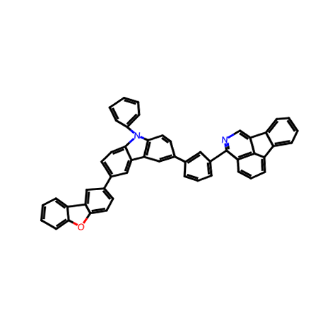 c1ccc(-n2c3ccc(-c4cccc(-c5ncc6c7c(cccc57)-c5ccccc5-6)c4)cc3c3cc(-c4ccc5oc6ccccc6c5c4)ccc32)cc1